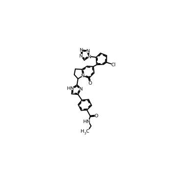 CCNC(=O)c1ccc(-c2c[nH]c(C3CCc4cc(-c5cc(Cl)ccc5-n5cnnn5)cc(=O)n43)n2)cc1